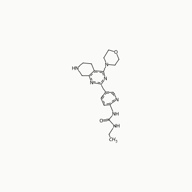 CCNC(=O)Nc1ccc(-c2nc3c(c(N4CCOCC4)n2)CCNC3)cn1